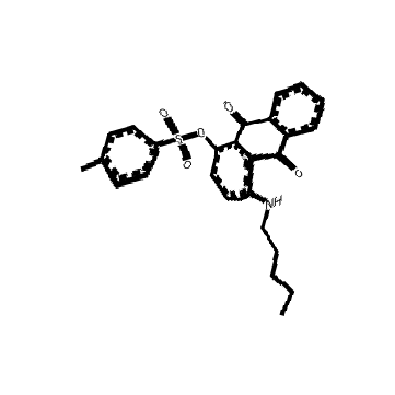 CCCCCNc1ccc(OS(=O)(=O)c2ccc(C)cc2)c2c1C(=O)c1ccccc1C2=O